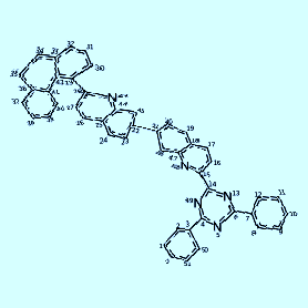 c1ccc(-c2nc(-c3ccccc3)nc(-c3ccc4ccc(-c5ccc6ccc(-c7cccc8ccc9ccccc9c78)nc6c5)cc4n3)n2)cc1